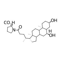 C[C@H](CCC(=O)N1CCC[C@H]1C(=O)O)[C@H]1CCC2C3C[C@H](O)[C@@H]4C[C@H](O)CC[C@]4(C)C3CC[C@@]21C